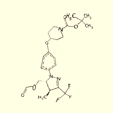 C[C@@H]1C(C(F)(F)F)=NN(c2ccc(OC3CCN(C(=O)OC(C)(C)C)CC3)cc2)[C@H]1COC=O